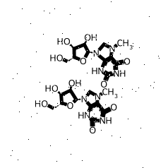 CN1CN([C@@H]2O[C@H](CO)[C@@H](O)[C@H]2O)c2[nH]c(=O)[nH]c(=O)c21.CN1CN([C@@H]2O[C@H](CO)[C@@H](O)[C@H]2O)c2[nH]c(=O)[nH]c(=O)c21